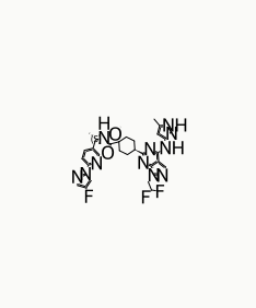 CO[C@]1(C(=O)N[C@@H](C)c2ccc(-n3cc(F)cn3)nc2)CC[C@H](c2nc(Nc3cc(C)[nH]n3)c3cnn(CC(F)F)c3n2)CC1